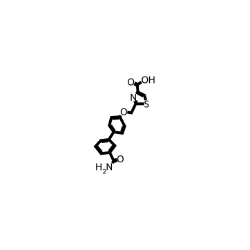 NC(=O)c1cccc(-c2ccc(OCc3nc(C(=O)O)cs3)cc2)c1